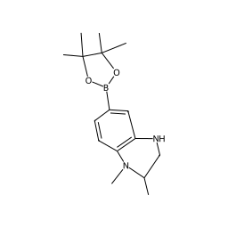 CC1CNc2cc(B3OC(C)(C)C(C)(C)O3)ccc2N1C